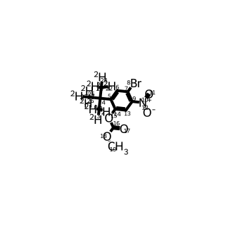 [2H]C([2H])([2H])C(c1cc(Br)c([N+](=O)[O-])cc1OC(=O)OC)(C([2H])([2H])[2H])C([2H])([2H])[2H]